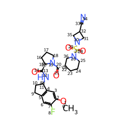 COc1cc2c(cc1F)CC[C@H]2NC(=O)[C@H]1CCCN1C(=O)[C@H]1CCCN(S(=O)(=O)N2CC(C#N)C2)C1